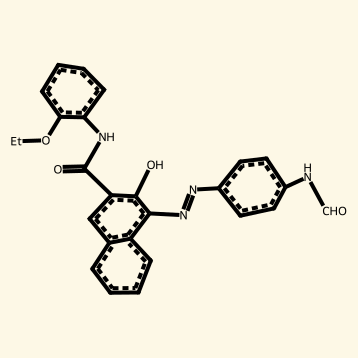 CCOc1ccccc1NC(=O)c1cc2ccccc2c(/N=N/c2ccc(NC=O)cc2)c1O